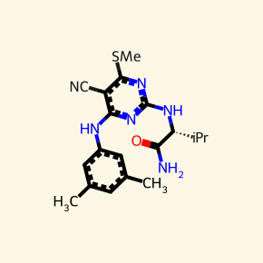 CSc1nc(N[C@@H](C(N)=O)C(C)C)nc(Nc2cc(C)cc(C)c2)c1C#N